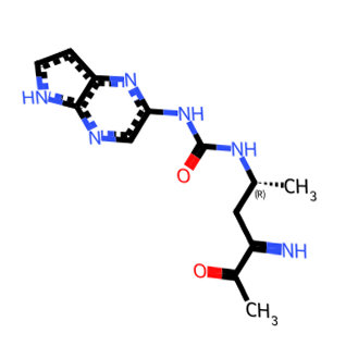 CC(=O)C(=N)C[C@@H](C)NC(=O)Nc1cnc2[nH]ccc2n1